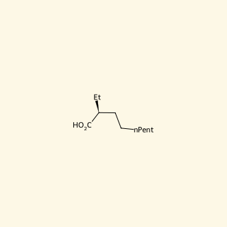 CCCCCCC[C@H](CC)C(=O)O